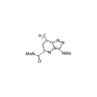 CNC(=O)c1cc(C)c2nnc(NC)n2n1